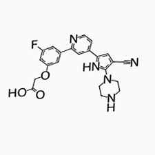 N#Cc1cc(-c2ccnc(-c3cc(F)cc(OCC(=O)O)c3)c2)[nH]c1N1CCNCC1